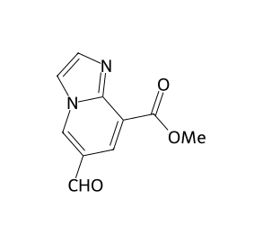 COC(=O)c1cc(C=O)cn2ccnc12